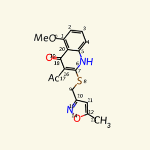 COc1cccc2[nH]c(SCc3cc(C)on3)c(C(C)=O)c(=O)c12